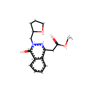 COC(=O)Cc1nn(CC2CCCO2)c(=O)c2ccccc12